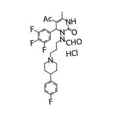 CC(=O)C1=C(C)NC(=O)N(N(C=O)CCCN2CCC(c3ccc(F)cc3)CC2)C1c1cc(F)c(F)c(F)c1.Cl